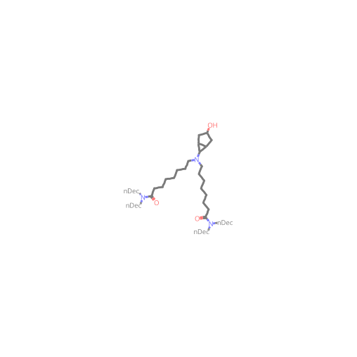 CCCCCCCCCCN(CCCCCCCCCC)C(=O)CCCCCCCN(CCCCCCCC(=O)N(CCCCCCCCCC)CCCCCCCCCC)C1C2CC(O)CC21